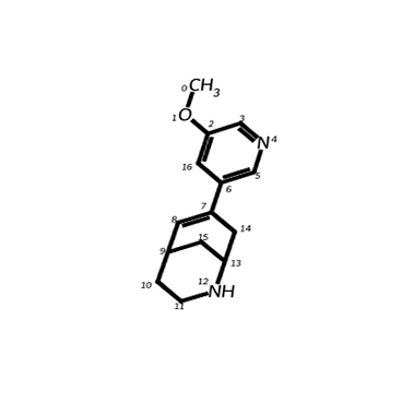 COc1cncc(C2=CC3CCNC(C2)C3)c1